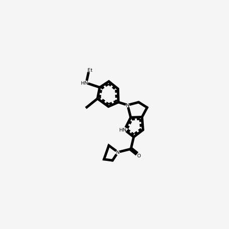 CCNc1ccc(N2CCc3cc(C(=O)N4CCC4)[nH]c32)cc1C